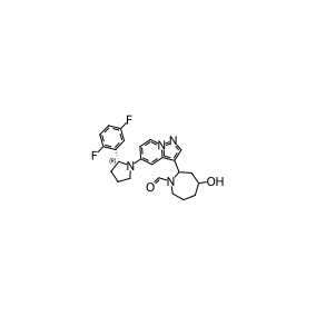 O=CN1CCCC(O)CC1c1cnn2ccc(N3CCC[C@@H]3c3cc(F)ccc3F)cc12